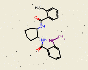 Cc1ccccc1C(=O)N[C@@H]1CCCC[C@H]1NC(=O)c1ccccc1PP